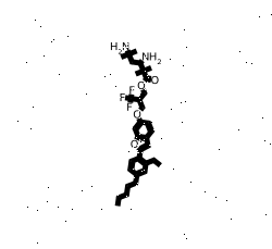 CCCCCc1ccc(-c2cc3ccc(OCC(COC(=O)C(C)(C)C(N)CC(C)(C)N)C(F)(F)F)cc3o2)c(CC)c1